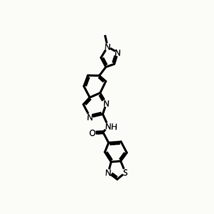 Cn1cc(-c2ccc3cnc(NC(=O)c4ccc5scnc5c4)nc3c2)cn1